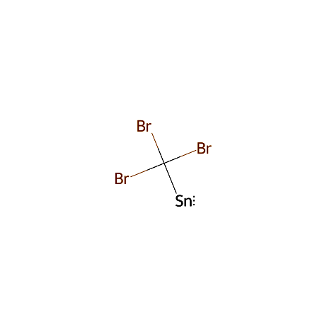 Br[C](Br)(Br)[Sn]